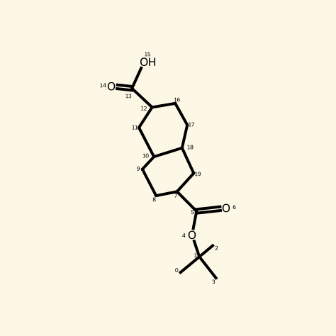 CC(C)(C)OC(=O)C1CCC2CC(C(=O)O)CCC2C1